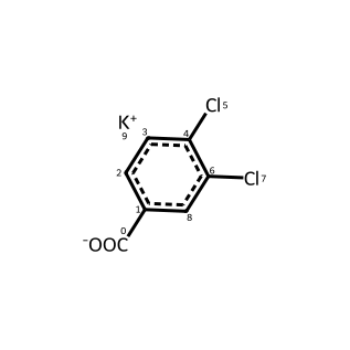 O=C([O-])c1ccc(Cl)c(Cl)c1.[K+]